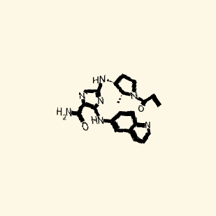 C=CC(=O)N1CC[C@@H](Nc2cnc(C(N)=O)c(Nc3ccc4ncccc4c3)n2)[C@H]1C